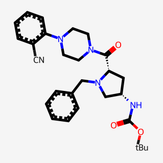 CC(C)(C)OC(=O)N[C@H]1C[C@@H](C(=O)N2CCN(c3ccccc3C#N)CC2)N(Cc2ccccc2)C1